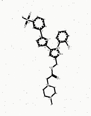 CN1CCN(CC(=O)OCc2cc(-c3ccc(-c4cccc(S(C)(=O)=O)c4)s3)n(-c3ccccc3Cl)n2)CC1